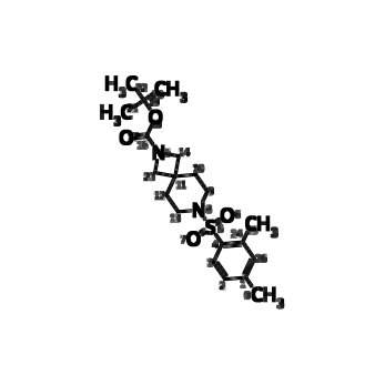 Cc1ccc(S(=O)(=O)N2CCC3(CC2)CN(C(=O)OC(C)(C)C)C3)c(C)c1